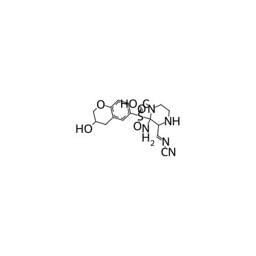 N#CN=CC1NCCN(C(=O)O)C1(N)S(=O)(=O)c1ccc2c(c1)CC(O)CO2